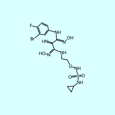 N=C(/C(=N/O)Nc1ccc(F)c(Br)c1)/C(=N\O)NCCONS(=O)(=O)NC1CC1